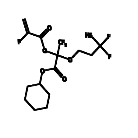 C=C(F)C(=O)OC(OCCC(F)(F)S)(C(=O)OC1CCCCC1)C(F)(F)F